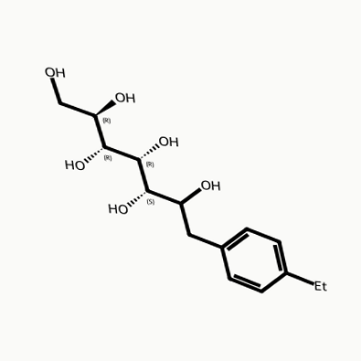 CCc1ccc(CC(O)[C@H](O)[C@@H](O)[C@H](O)[C@H](O)CO)cc1